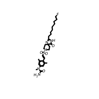 Cc1cc(N(C)C(N)=O)cc(C)c1C=CS(=O)(=O)N1CCC2(CC1)N=C(CCCCCCCCCF)NC2=O